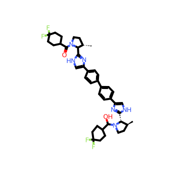 C[C@H]1CCN(C(=O)C2CCC(F)(F)CC2)C1c1nc(-c2ccc(-c3ccc(-c4c[nH]c([C@@H]5[C@@H](C)CCN5C(O)C5CCC(F)(F)CC5)n4)cc3)cc2)c[nH]1